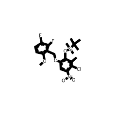 COc1ccc(F)c(F)c1COc1cc([N+](=O)[O-])c(Cl)c(C)c1O[Si](C)(C)C(C)(C)C